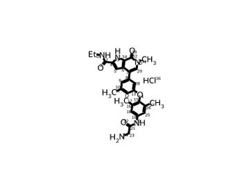 CCNC(=O)c1cc2c(-c3cc(C)cc(Oc4c(C)cc(NC(=O)CN)cc4C)c3)cn(C)c(=O)c2[nH]1.Cl